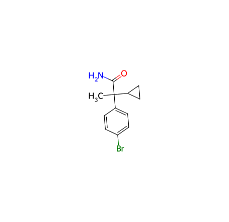 CC(C(N)=O)(c1ccc(Br)cc1)C1CC1